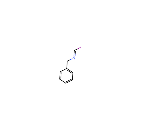 IC=NCc1ccccc1